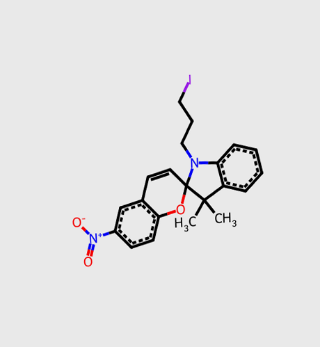 CC1(C)c2ccccc2N(CCCI)C12C=Cc1cc([N+](=O)[O-])ccc1O2